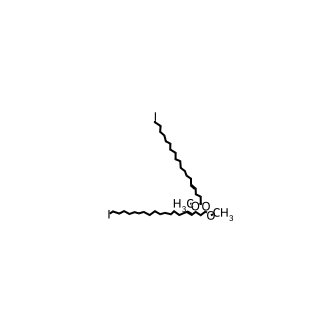 COC(CCC=CCCCCCCCCCCCCCCI)OC(CCC=CCCCCCCCCCCCCCCI)OC